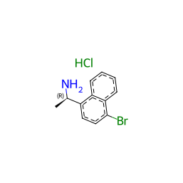 C[C@@H](N)c1ccc(Br)c2ccccc12.Cl